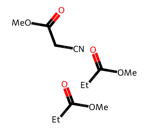 CCC(=O)OC.CCC(=O)OC.COC(=O)CC#N